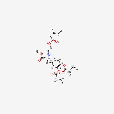 CCC(C)CC(=O)OCCN[C@@H](Cc1ccc(OC(=O)C(C)CC)c(OC(=O)C(C)CC)c1)C(=O)OC